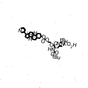 CC(C)(C)OC(=O)N[C@@H](Cc1cn(C(=O)O)c(C(C)(C)C)n1)C(=O)OCCOC(=O)O[C@H]1CC[C@@]2(C)C(=CC[C@@H]3[C@@H]2CC[C@]2(C)C(c4cccnc4)=CC[C@@H]32)C1